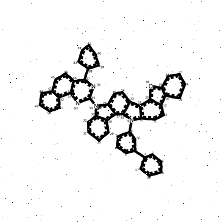 c1ccc(-c2cccc(-n3c4ccc5c6ccccc6oc5c4c4ccc5c(c6ccccc6n5-c5nc(-c6ccccc6)c6ccc7ccccc7c6n5)c43)c2)cc1